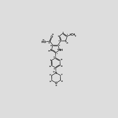 Cc1ccc(-c2[nH]c(-c3ccc(N4CCOCC4)cc3)nc2C(=O)O)s1